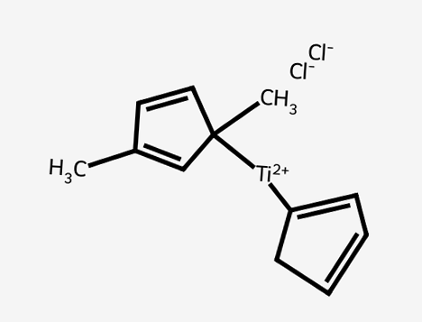 CC1=C[C](C)([Ti+2][C]2=CC=CC2)C=C1.[Cl-].[Cl-]